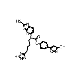 O=C(Oc1ccc(-c2cc(O)no2)cc1)N(CCCCc1nn[nH]n1)c1ccc2nc(S)sc2n1